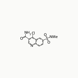 CNS(=O)(=O)c1ccc2ncc(C(N)=O)c(Cl)c2c1